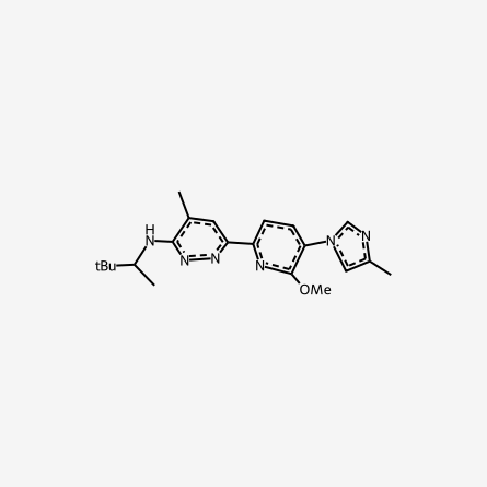 COc1nc(-c2cc(C)c(NC(C)C(C)(C)C)nn2)ccc1-n1cnc(C)c1